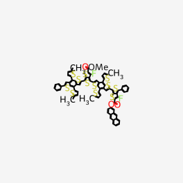 COC(=O)c1sc2c(-c3cc4c(-c5ccc(C)s5)c5sc(-c6ccccc6)cc5c(-c5ccc(C)s5)c4s3)sc(-c3cc4c(-c5ccc(C)s5)c5sc(-c6sc(-c7ccccc7)c7c(F)c(C(=O)Oc8ccc9cc%10ccccc%10cc9c8)sc67)cc5c(-c5ccc(C)s5)c4s3)c2c1F